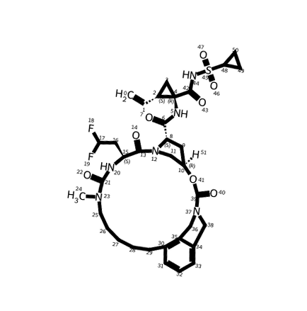 C=C[C@@H]1C[C@]1(NC(=O)[C@@H]1C[C@@H]2CN1C(=O)[C@H](CC(F)F)NC(=O)N(C)CCCCCc1cccc3c1CN(C3)C(=O)O2)C(=O)NS(=O)(=O)C1CC1